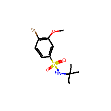 COc1cc(S(=O)(=O)NC(C)(C)C)ccc1Br